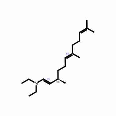 CCN(/C=C/[C@H](C)CC/C=C(\C)CCC=C(C)C)CC